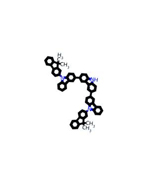 CC1(C)c2ccccc2-c2ccc(-n3c4ccccc4c4cc(-c5ccc6[nH]c7ccc(-c8ccc9c(c8)c8ccccc8n9-c8ccc9c(c8)C(C)(C)c8ccccc8-9)cc7c6c5)ccc43)cc21